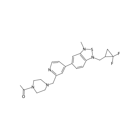 CC(=O)N1CCN(Cc2cc(-c3ccc4c(c3)N(C)SN4CC3CC3(F)F)ccn2)CC1